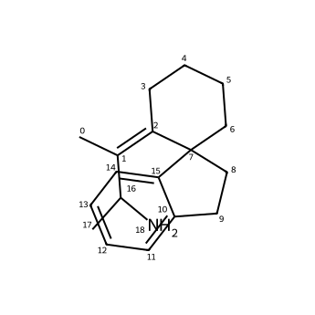 CC(=C1CCCCC12CCc1ccccc12)C(C)N